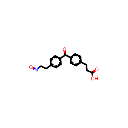 O=NCCc1ccc(C(=O)c2ccc(CCC(=O)O)cc2)cc1